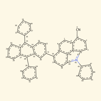 N#Cc1ccc2c3c1ccc1c(-c4ccc5c(-c6ccccc6)c6ccccc6c(-c6ccccc6)c5c4)ccc(c13)n2-c1ccccc1